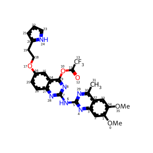 COc1cc2nc(Nc3nc(OC(=O)C(F)(F)F)c4cc(OCCc5ccc[nH]5)ccc4n3)nc(C)c2cc1OC